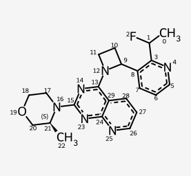 CC(F)c1ncccc1C1CCN1c1nc(N2CCOC[C@@H]2C)nc2ncccc12